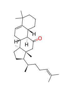 CC(C)=CCC[C@@H](C)[C@H]1CC[C@@]2(C)[C@@H]3CC=C4[C@H](CCCC4(C)C)[C@H]3C(=O)C[C@]12C